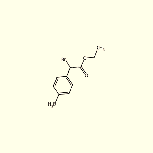 Bc1ccc(C(Br)C(=O)OCC)cc1